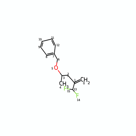 C=C([CH]C(C)OCc1ccccc1)C(F)F